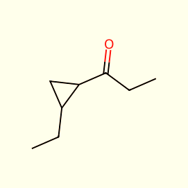 CCC(=O)C1CC1CC